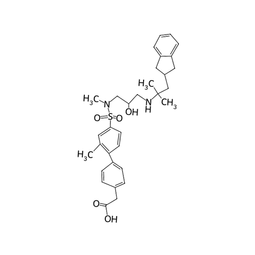 Cc1cc(S(=O)(=O)N(C)CC(O)CNC(C)(C)CC2Cc3ccccc3C2)ccc1-c1ccc(CC(=O)O)cc1